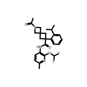 CC(=O)N1CC2(C1)CC(C(=O)Nc1ccc(C)nc1OC(F)F)(c1ccccc1C(C)C)C2